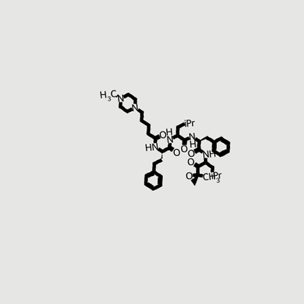 CC(C)CC(NC(=O)[C@H](CCc1ccccc1)NC(=O)CCCCN1CCN(C)CC1)C(=O)N[C@@H](Cc1ccccc1)C(=O)NC(CC(C)C)C(=O)C1(C)CO1